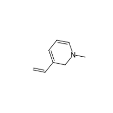 C=CC1=CC=CN(C)C1